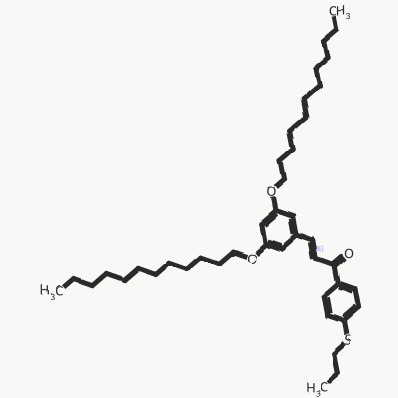 CCCCCCCCCCCCOc1cc(/C=C/C(=O)c2ccc(SCCC)cc2)cc(OCCCCCCCCCCCC)c1